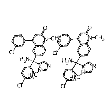 Cn1cncc1C(N)(c1ccc(Cl)cc1)c1ccc2c(c1)c(-c1cccc(Cl)c1)cc(=O)n2C.Cn1cncc1[C@@](N)(c1ccc(Cl)cc1)c1ccc2c(c1)c(-c1cccc(Cl)c1)cc(=O)n2C